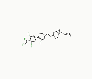 CCC[SiH]1CCC(CCc2ccc(-c3cc(F)c(C(F)=CF)c(F)c3)c(F)c2)CC1